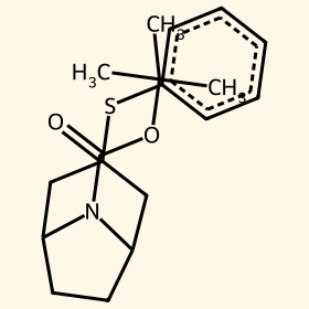 CC(C)(C)OC(=O)N1C2CCC1CC(Sc1ccccc1)C2